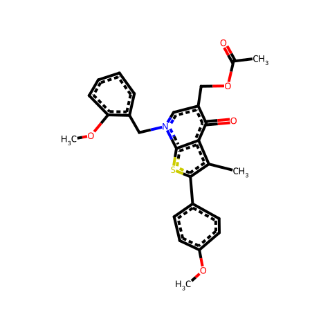 COc1ccc(-c2sc3c(c2C)c(=O)c(COC(C)=O)cn3Cc2ccccc2OC)cc1